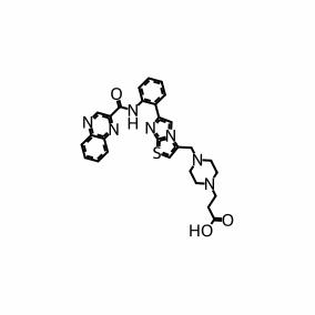 O=C(O)CCN1CCN(Cc2csc3nc(-c4ccccc4NC(=O)c4cnc5ccccc5n4)cn23)CC1